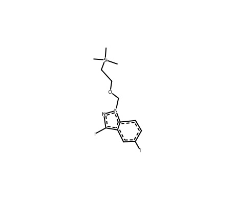 C[Si](C)(C)CCOCn1nc(I)c2cc(I)ccc21